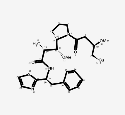 CC[C@H](C)C[C@@H](CC(=O)N1CCC[C@H]1[C@H](OC)[C@@H](C)C(=O)N[C@@H](Cc1ccccc1)c1nccs1)OC